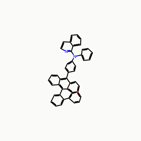 c1ccc(-c2ccccc2-c2c3ccccc3c(-c3ccc(N(c4ccccc4)c4nccc5ccccc45)cc3)c3ccccc23)cc1